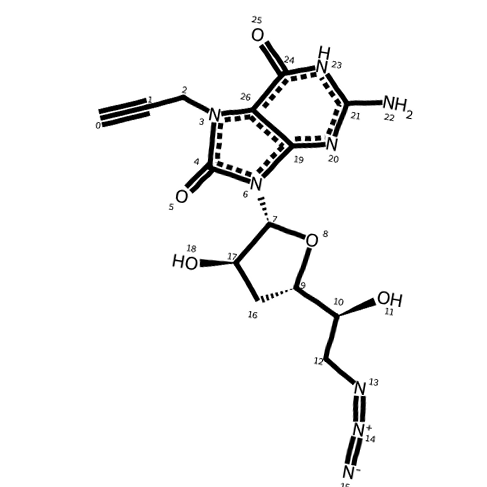 C#CCn1c(=O)n([C@@H]2O[C@H]([C@@H](O)CN=[N+]=[N-])C[C@H]2O)c2nc(N)[nH]c(=O)c21